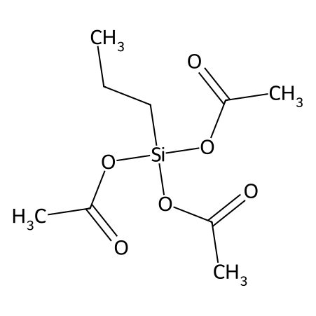 CCC[Si](OC(C)=O)(OC(C)=O)OC(C)=O